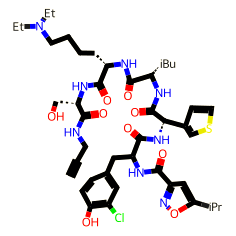 C#CCNC(=O)[C@H](CO)NC(=O)[C@H](CCCCN(CC)CC)NC(=O)C(NC(=O)[C@@H](NC(=O)C(Cc1ccc(O)c(Cl)c1)NC(=O)c1cc(C(C)C)on1)c1ccsc1)[C@@H](C)CC